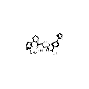 CNc1nccc([C@H]2CCCN2C(=O)[C@H](O)[C@@H](O)C(=O)N[C@H](C)c2ccc(-n3cccn3)cc2)n1